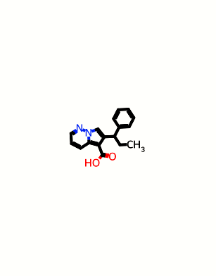 CCC(c1ccccc1)c1cn2ncccc2c1C(=O)O